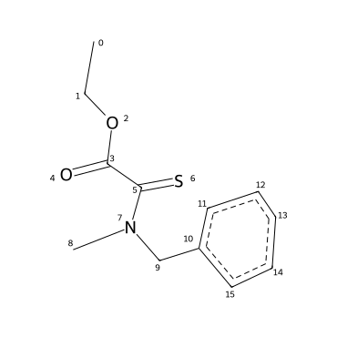 CCOC(=O)C(=S)N(C)Cc1ccccc1